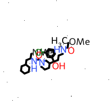 CNCC(CC1CCCCC1)NC(=O)N1CCCC(C(O)(CCCNC(=O)C(C)OC)c2cccc(Cl)c2)C1